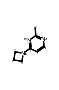 Cc1nccc(N2CCC2)n1